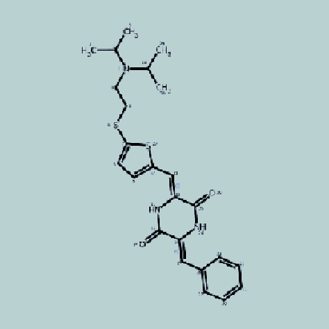 CC(C)N(CCSc1ccc(/C=c2\[nH]c(=O)/c(=C/c3ccccc3)[nH]c2=O)s1)C(C)C